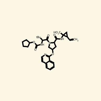 C=CC1CC1(NC(=O)C1CC(Oc2nccc3ccccc23)CN1C(=O)C(NC(=O)OC1CCCC1)C(C)(C)C)C(=O)O